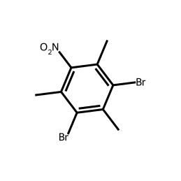 Cc1c(Br)c(C)c([N+](=O)[O-])c(C)c1Br